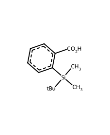 CC(C)(C)[Si](C)(C)c1ccccc1C(=O)O